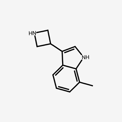 Cc1cccc2c(C3CNC3)c[nH]c12